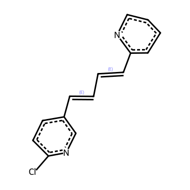 Clc1ccc(/C=C/C=C/c2ccccn2)cn1